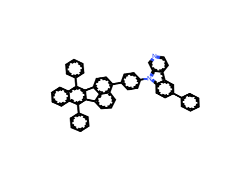 c1ccc(-c2ccc3c(c2)c2ccncc2n3-c2ccc(-c3ccc4c5c(cccc35)-c3c-4c(-c4ccccc4)c4ccccc4c3-c3ccccc3)cc2)cc1